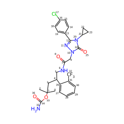 CC(C)(CC(CNC(=O)Cn1nc(-c2ccc(Cl)cc2)n(C2CC2)c1=O)c1ccccc1C(F)(F)F)OC(N)=O